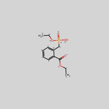 CCOC(=O)c1ccccc1CP(=O)(O)OCC